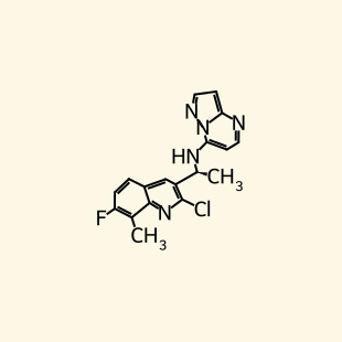 Cc1c(F)ccc2cc([C@H](C)Nc3ccnc4ccnn34)c(Cl)nc12